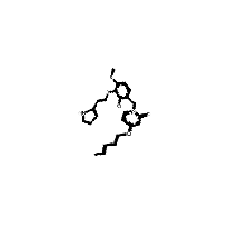 CCCCCOc1ccn(Cc2ccc(OC)c(OCCC3CCCN3)c2Cl)c(=O)c1